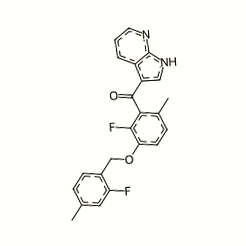 Cc1ccc(COc2ccc(C)c(C(=O)c3c[nH]c4ncccc34)c2F)c(F)c1